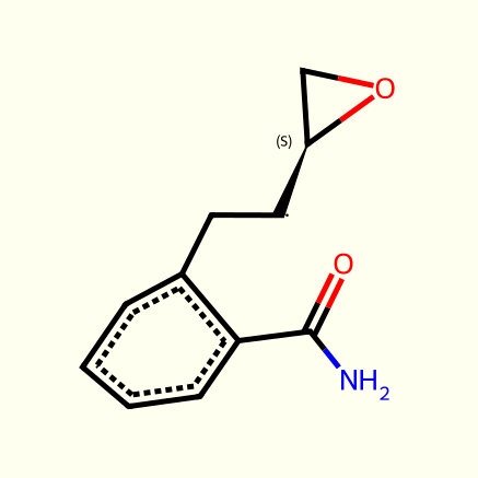 NC(=O)c1ccccc1C[CH][C@H]1CO1